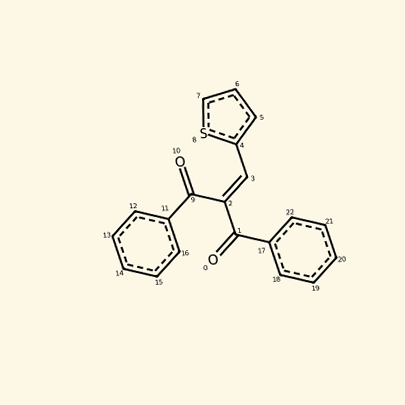 O=C(C(=Cc1cccs1)C(=O)c1ccccc1)c1ccccc1